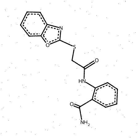 NC(=O)c1ccccc1NC(=O)CSc1nc2ccccc2o1